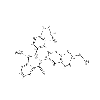 O=C(O)[C@H]1c2ccccc2C(=O)N(c2ccc3c(c2)CCC(CO)C3)[C@@H]1c1ccc2c(c1)OCCO2